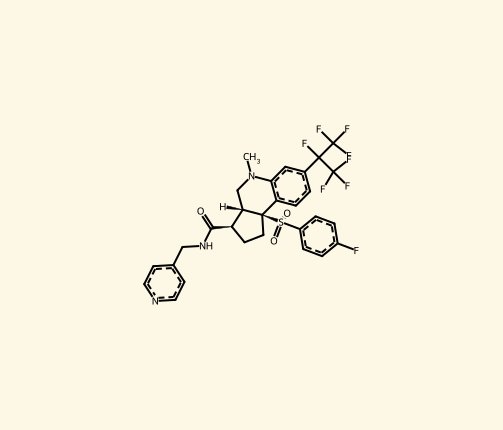 CN1C[C@H]2[C@H](C(=O)NCc3ccncc3)CC[C@@]2(S(=O)(=O)c2ccc(F)cc2)c2ccc(C(F)(C(F)(F)F)C(F)(F)F)cc21